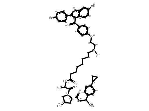 CCN(CCCCCCCC(=O)NC(C(=O)N1C[C@H](O)C[C@H]1C(=O)NC(C)c1ccc(C2CC2)cc1)C(C)(C)C)CCOc1ccc(C(=O)c2c(-c3ccc(O)cc3)sc3cc(O)ccc23)cc1